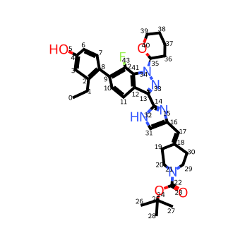 CCc1cc(O)ccc1-c1ccc2c(-c3nc(C=C4CCN(C(=O)OC(C)(C)C)CC4)c[nH]3)nn([C@@H]3CCCCO3)c2c1F